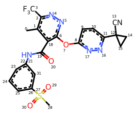 Cc1c(C(F)(F)F)nnc(Oc2ccc(C3(C#N)CC3)nn2)c1C(=O)Nc1cccc(S(C)(=O)=O)c1